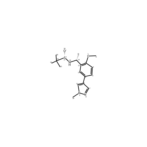 COc1ccc(-c2cnn(C)c2)cc1[C@@H](C)N[S@@+]([O-])C(C)(C)C